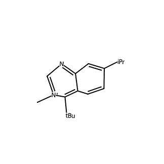 CC(C)c1ccc2c(C(C)(C)C)[n+](C)cnc2c1